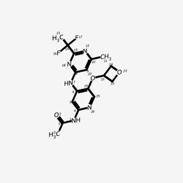 CC(=O)Nc1cc(Nc2cc(C)nc(C(C)(F)F)n2)c(OC2COC2)cn1